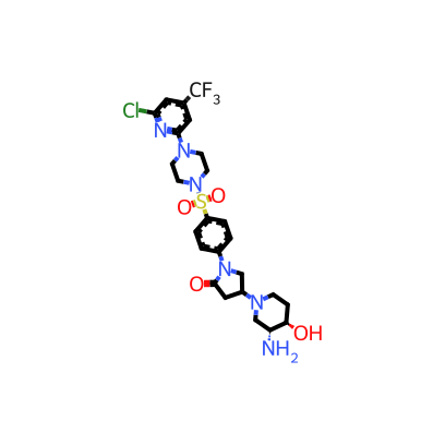 N[C@@H]1CN(C2CC(=O)N(c3ccc(S(=O)(=O)N4CCN(c5cc(C(F)(F)F)cc(Cl)n5)CC4)cc3)C2)CC[C@H]1O